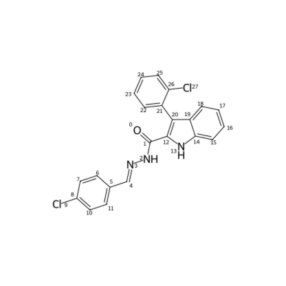 O=C(NN=Cc1ccc(Cl)cc1)c1[nH]c2ccccc2c1-c1ccccc1Cl